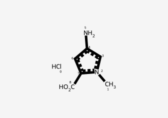 Cl.Cn1cc(N)cc1C(=O)O